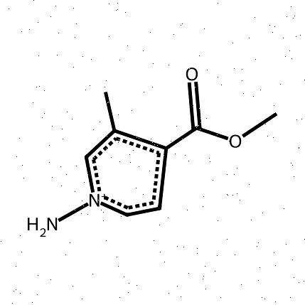 COC(=O)c1cc[n+](N)cc1C